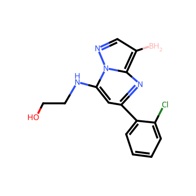 Bc1cnn2c(NCCO)cc(-c3ccccc3Cl)nc12